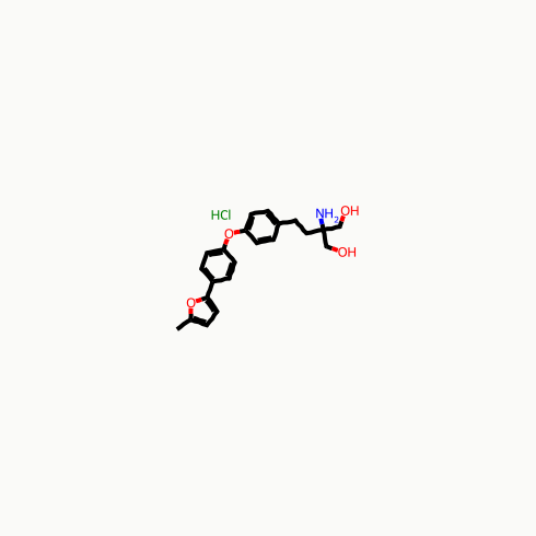 Cc1ccc(-c2ccc(Oc3ccc(CCC(N)(CO)CO)cc3)cc2)o1.Cl